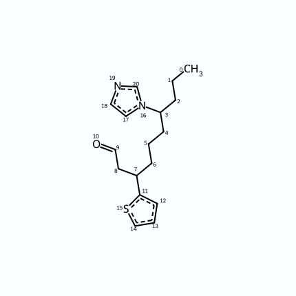 CCCC(CCCC(CC=O)c1cccs1)n1ccnc1